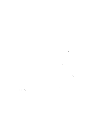 NC(=O)c1cccc2c(-c3nc4c(c(NCc5ccccc5)n3)COC4)occ12